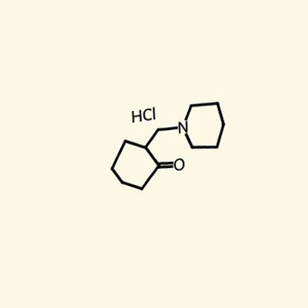 Cl.O=C1CCCCC1CN1CCCCC1